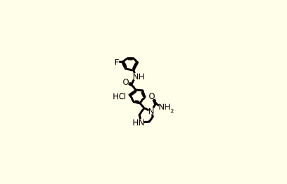 Cl.NC(=O)N1CCNCC1c1ccc(C(=O)Nc2cccc(F)c2)cc1